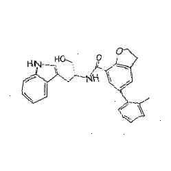 Cc1ccccc1-c1cc2c(c(C(=O)N[C@@H](CO)Cc3c[nH]c4ccccc34)c1)OCC2